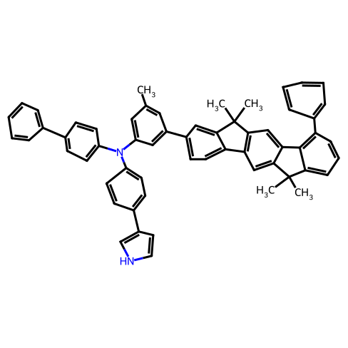 Cc1cc(-c2ccc3c(c2)C(C)(C)c2cc4c(cc2-3)C(C)(C)c2cccc(-c3ccccc3)c2-4)cc(N(c2ccc(-c3ccccc3)cc2)c2ccc(-c3cc[nH]c3)cc2)c1